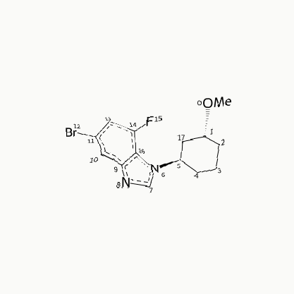 CO[C@@H]1CCC[C@@H](n2cnc3cc(Br)cc(F)c32)C1